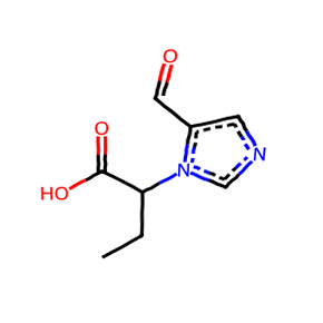 CCC(C(=O)O)n1cncc1C=O